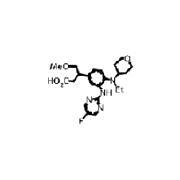 CCN(c1ccc(C(COC)CC(=O)O)cc1Nc1ncc(F)cn1)C1CCOCC1